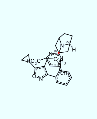 Cc1cc(C(=O)O)nc(N2C3CC[C@H]2C[C@H](OCc2c(-c4ccccc4C)noc2C2CC2)C3)n1